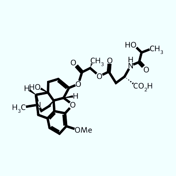 COc1ccc2c3c1O[C@H]1C(OC(=O)[C@H](C)OC(=O)C[C@H](NC(=O)C(C)O)C(=O)O)=CC[C@@]4(O)[C@@H](C2)N(C)CC[C@]314